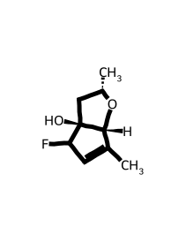 CC1=CC(F)[C@]2(O)C[C@H](C)O[C@H]12